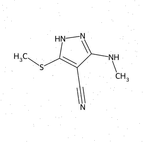 CNc1n[nH]c(SC)c1C#N